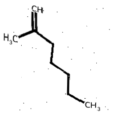 [CH]=C(C)CCC[CH]C